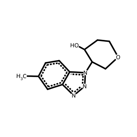 Cc1ccc2c(c1)nnn2C1COCCC1O